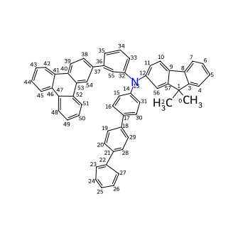 CC1(C)c2ccccc2-c2ccc(N(c3ccc(-c4ccc(-c5ccccc5)cc4)cc3)c3cccc(-c4ccc5c6ccccc6c6ccccc6c5c4)c3)cc21